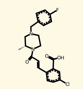 C[C@@H]1CN(Cc2ccc(F)cc2)CCN1C(=O)/C=C/c1ccc(Cl)cc1C(=O)O